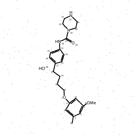 COc1cc(C)cc(OCCCCc2ccc(NC(=O)N3CCNCC3)cc2)c1.Cl